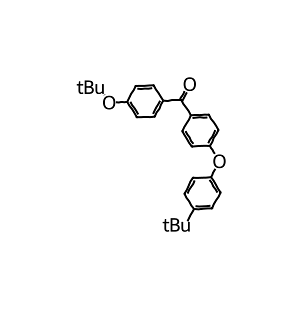 CC(C)(C)Oc1ccc(C(=O)c2ccc(Oc3ccc(C(C)(C)C)cc3)cc2)cc1